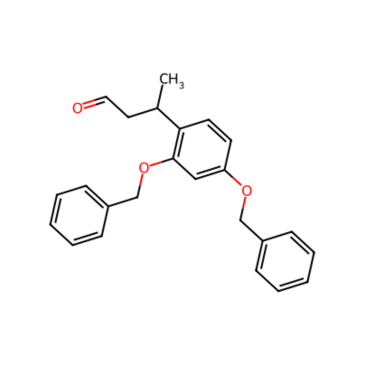 CC(CC=O)c1ccc(OCc2ccccc2)cc1OCc1ccccc1